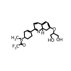 CN(C(=O)C(F)(F)F)[C@H]1CC=C(C2=N[C@H]3CC(OC(CO)CO)=CC=C3C=C2)CC1